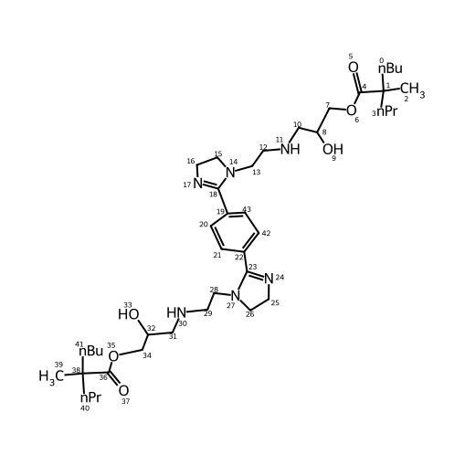 CCCCC(C)(CCC)C(=O)OCC(O)CNCCN1CCN=C1c1ccc(C2=NCCN2CCNCC(O)COC(=O)C(C)(CCC)CCCC)cc1